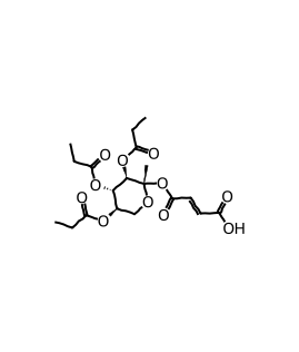 CCC(=O)O[C@@H]1[C@@H](OC(=O)CC)[C@](C)(OC(=O)/C=C/C(=O)O)OC[C@H]1OC(=O)CC